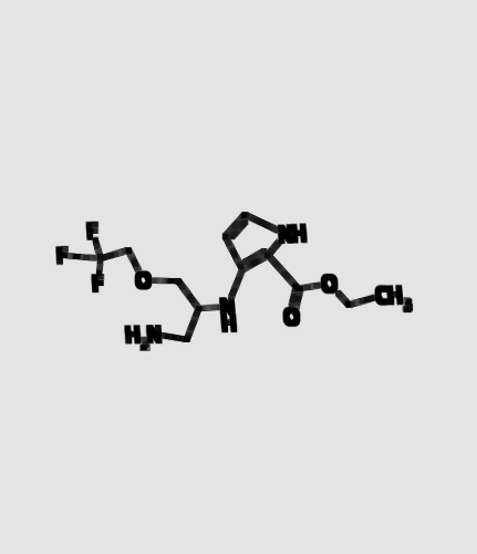 CCOC(=O)c1[nH]ccc1NC(CN)COCC(F)(F)F